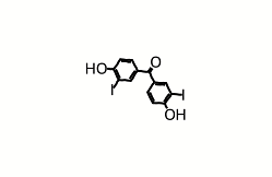 O=C(c1ccc(O)c(I)c1)c1ccc(O)c(I)c1